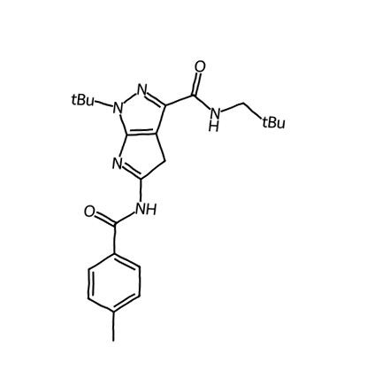 Cc1ccc(C(=O)NC2=Nc3c(c(C(=O)NCC(C)(C)C)nn3C(C)(C)C)C2)cc1